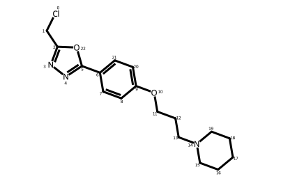 ClCc1nnc(-c2ccc(OCCCN3CCCCC3)cc2)o1